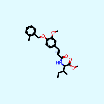 CCC(C)C(NC(=O)/C=C/c1ccc(OCc2ccccc2C)c(OC)c1)C(=O)OC